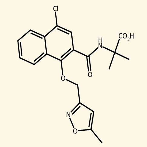 Cc1cc(COc2c(C(=O)NC(C)(C)C(=O)O)cc(Cl)c3ccccc23)no1